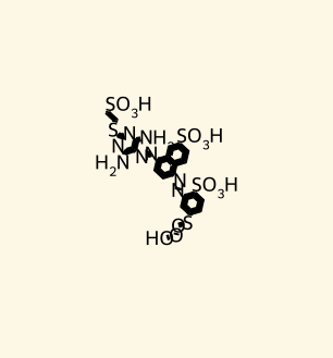 Nc1nc(SCCS(=O)(=O)O)nc(N)c1/N=N/c1ccc(/N=N/c2cc(SOOO)ccc2S(=O)(=O)O)c2ccc(S(=O)(=O)O)cc12